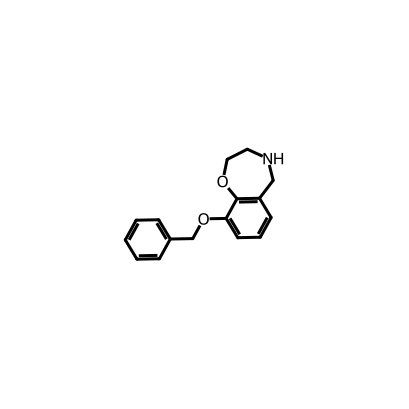 c1ccc(COc2cccc3c2OCCNC3)cc1